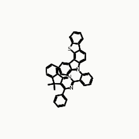 CC1(C)c2ccccc2-c2nc(-c3ccccc3-n3c4ccccc4c4c5sc6ccccc6c5ccc43)nc(-c3ccccc3)c21